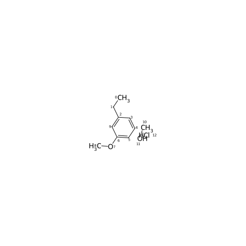 CCc1cccc(OC)c1.CO.Cl